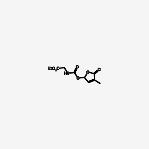 CCOC(=O)CNC(=O)OC1C=C(C)C(=O)O1